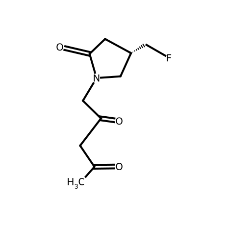 CC(=O)CC(=O)CN1C[C@@H](CF)CC1=O